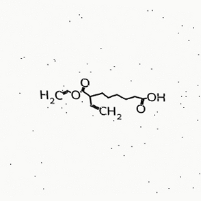 C=COC(=O)C(C=C)CCCCCC(=O)O